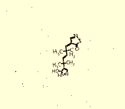 CC(C)(/C=C1/C=NSC1=O)/C=C/C(C)(C)c1cn[nH]c1O